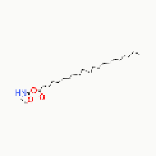 CCCCCCCCCCCCCCCCCCCCC(=O)OC1NCCO1